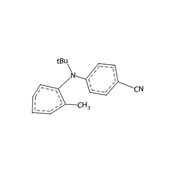 Cc1ccccc1N(c1ccc(C#N)cc1)C(C)(C)C